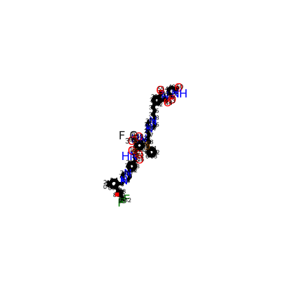 CC1(C)CCC(CN2CCN(c3ccc(C(=O)NS(=O)(=O)c4ccc(NC(CCN5CCN(CCCCc6ccc7c(c6)C(=O)N(C6CCC(=O)NC6=O)C7=O)CC5)CSc5ccccc5)c(S(=O)(=O)C(F)(F)F)c4)cc3)CC2)=C(C23CC(C(F)F)(C2)C3)C1